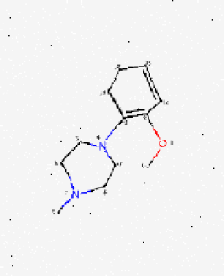 COC1=C(N2CCN(C)CC2)[CH]CC=C1